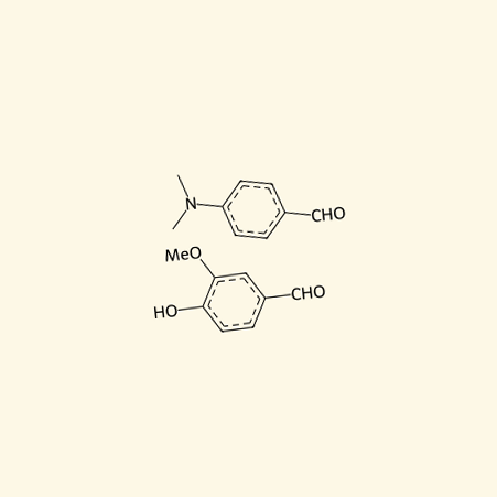 CN(C)c1ccc(C=O)cc1.COc1cc(C=O)ccc1O